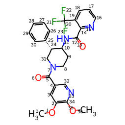 COc1cc(C(=O)N2CC[C@H](NC(=O)c3ncccc3C(F)(F)F)[C@@H](c3ccccc3)C2)cnc1OC